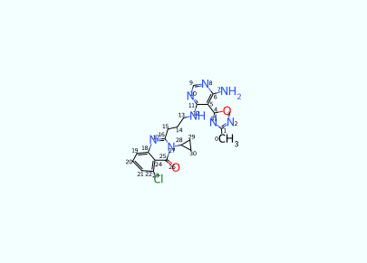 Cc1noc(-c2c(N)ncnc2NCCCc2nc3cccc(Cl)c3c(=O)n2C2CC2)n1